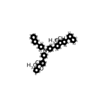 CC1(C)c2ccccc2Oc2ccc(-c3ccc(N(c4ccc(-c5ccc6c(c5)C(C)(C)c5cc(-c7cccc8ccccc78)ccc5-6)cc4)c4ccc(-c5ccc6ccccc6c5)cc4)cc3)cc21